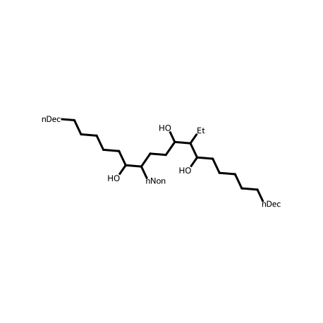 CCCCCCCCCCCCCCCC(O)C(CCCCCCCCC)CCC(O)C(CC)C(O)CCCCCCCCCCCCCCC